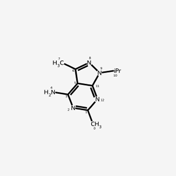 Cc1nc(N)c2c(C)nn(C(C)C)c2n1